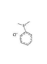 C[S+](C)c1ccccc1.[Cl-]